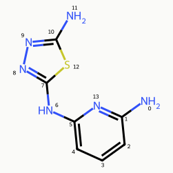 Nc1cccc(Nc2nnc(N)s2)n1